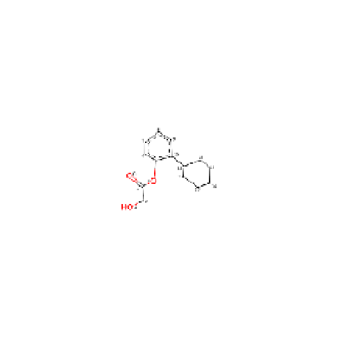 O=C(CO)Oc1ccccc1C1CCCCC1